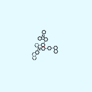 C1=CC2C=Cc3cc(N(C4=C(c5cccc(-c6cccc7c6c6ccccc6n7-c6ccccc6)c5)CCC=C4)c4ccc(-c5ccc(-c6cccc7ccccc67)cc5)cc4)ccc3C2C=C1